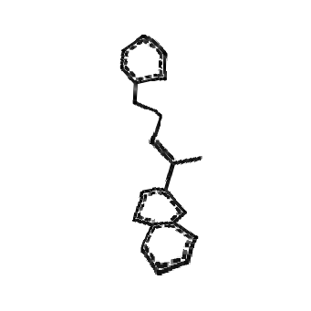 CC(=CCCc1ccccc1)c1ccc2ccccc2c1